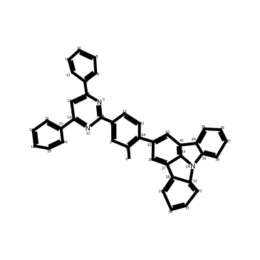 Cc1cc(-c2nc(-c3ccccc3)cc(-c3ccccc3)n2)ccc1-c1cc2c3ccccc3n3c4ccccc4c(c1)c23